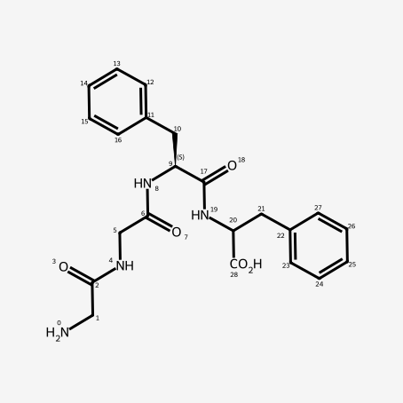 NCC(=O)NCC(=O)N[C@@H](Cc1ccccc1)C(=O)NC(Cc1ccccc1)C(=O)O